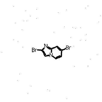 Brc1ccn2cc(Br)nc2c1